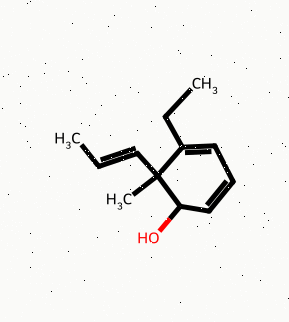 CC=CC1(C)C(CC)=CC=CC1O